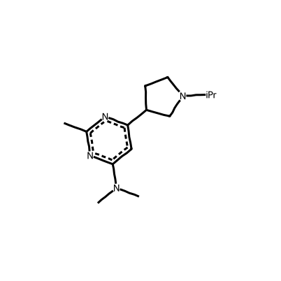 Cc1nc(C2CCN(C(C)C)C2)cc(N(C)C)n1